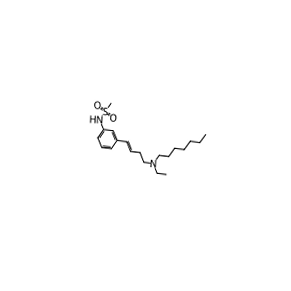 CCCCCCCN(CC)CCC=Cc1cccc(NS(C)(=O)=O)c1